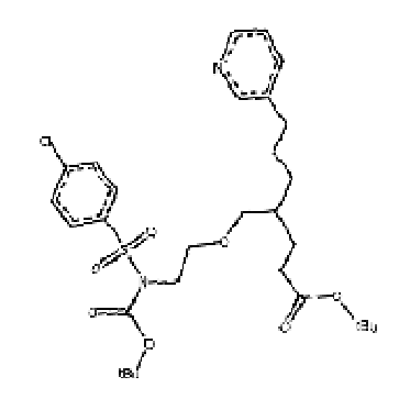 CC(C)(C)OC(=O)CCC(CCCc1cccnc1)COCCN(C(=O)OC(C)(C)C)S(=O)(=O)c1ccc(Cl)cc1